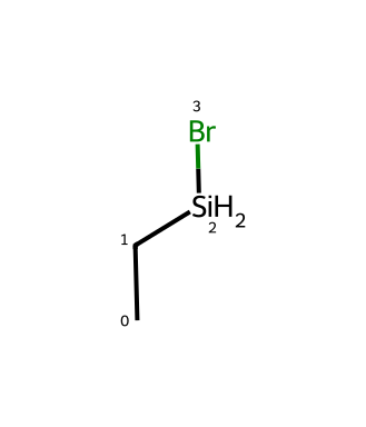 CC[SiH2]Br